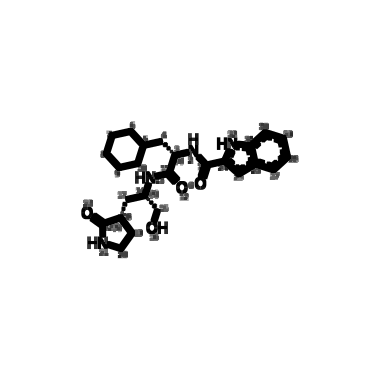 O=C(N[C@@H](CC1CCCCC1)C(=O)N[C@H](CO)C[C@@H]1CCNC1=O)c1cc2ccccc2[nH]1